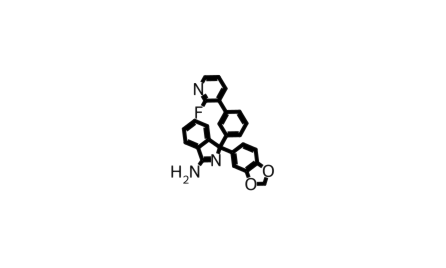 NC1=NC(c2cccc(-c3cccnc3F)c2)(c2ccc3c(c2)OCO3)c2ccccc21